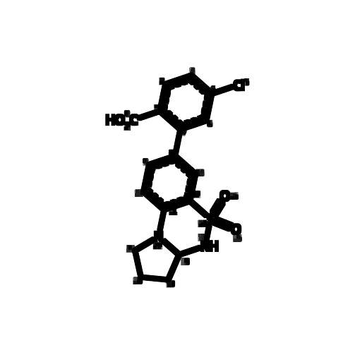 O=C(O)c1ccc(Cl)cc1-c1ccc2c(c1)S(=O)(=O)NC1CCCN21